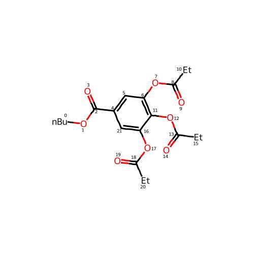 CCCCOC(=O)c1cc(OC(=O)CC)c(OC(=O)CC)c(OC(=O)CC)c1